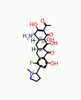 CC(=O)C1=C(O)[C@@H](N)[C@@H]2C[C@@H]3Cc4c(F)c(C5CCCN5C)cc(O)c4C(=O)C3=C(O)[C@]2(O)C1=O